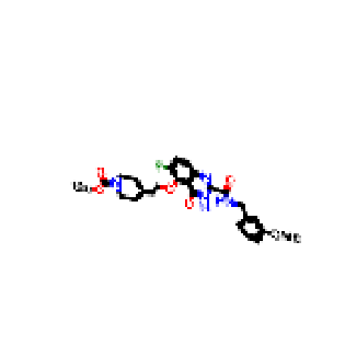 COc1cccc(CNC(=O)c2nc3ccc(F)c(OCCC4CCN(C(=O)OC(C)(C)C)CC4)c3c(=O)[nH]2)c1